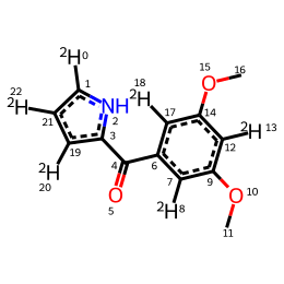 [2H]c1[nH]c(C(=O)c2c([2H])c(OC)c([2H])c(OC)c2[2H])c([2H])c1[2H]